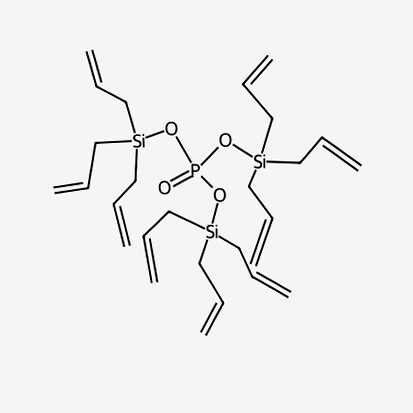 C=CC[Si](CC=C)(CC=C)OP(=O)(O[Si](CC=C)(CC=C)CC=C)O[Si](CC=C)(CC=C)CC=C